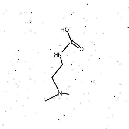 CN(C)C[CH]NC(=O)O